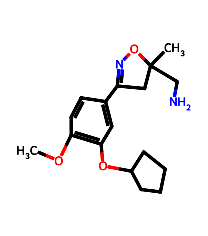 COc1ccc(C2=NOC(C)(CN)C2)cc1OC1CCCC1